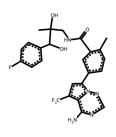 Cc1ccc(-c2cc(C(F)(F)F)c3c(N)ncnn23)cc1C(=O)NCC(C)(O)C(O)c1ccc(F)cc1